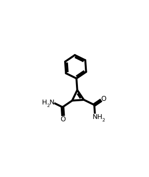 NC(=O)C1=C(c2ccccc2)C1C(N)=O